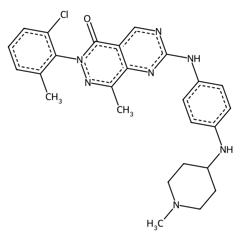 Cc1cccc(Cl)c1-n1nc(C)c2nc(Nc3ccc(NC4CCN(C)CC4)cc3)ncc2c1=O